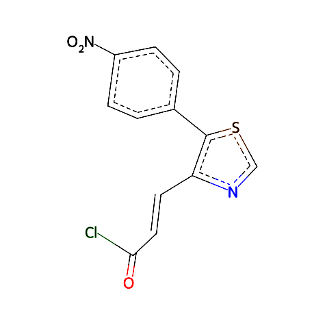 O=C(Cl)C=Cc1ncsc1-c1ccc([N+](=O)[O-])cc1